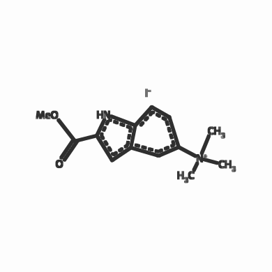 COC(=O)c1cc2cc([N+](C)(C)C)ccc2[nH]1.[I-]